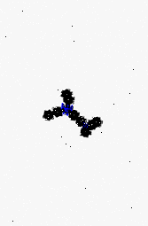 c1ccc(-c2ccc(-c3nc(-c4ccc(-c5ccc(-n6c7ccccc7c7cc8ccccc8cc76)cc5)cc4)nc(-c4ccc5ccccc5c4)n3)cc2)cc1